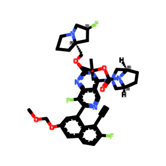 C#Cc1c(F)ccc2cc(OCOC)cc(-c3ncc4c(N5C[C@H]6CC[C@@H](C5)N6C(=O)OC(C)(C)C)nc(OC[C@]56CCCN5C[C@@H](F)C6)nc4c3F)c12